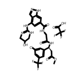 COC(=O)C[C@H](NC(=O)CNC(=O)c1cc(NC2=NCC(O)CN2)c2cn[nH]c2c1)c1cc(Cl)cc(C(F)(F)F)c1.O=C(O)C(F)(F)F